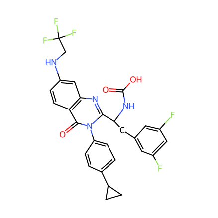 O=C(O)NC(Cc1cc(F)cc(F)c1)c1nc2cc(NCC(F)(F)F)ccc2c(=O)n1-c1ccc(C2CC2)cc1